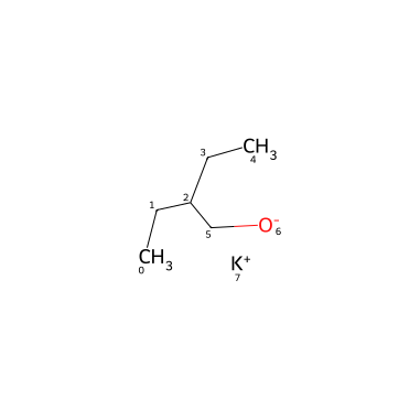 CCC(CC)C[O-].[K+]